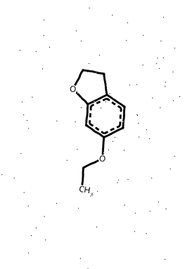 CCOc1ccc2c(c1)OCC2